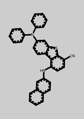 N#Cc1ccc(Nc2ccc3ccccc3c2)c2c1sc1cc(N(c3ccccc3)c3ccccc3)ccc12